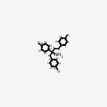 Cc1ccc(CCC(N)(Cc2ccc(C)cc2)c2ccc(C)cc2)cc1